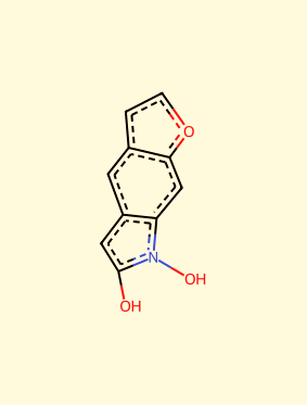 Oc1cc2cc3ccoc3cc2n1O